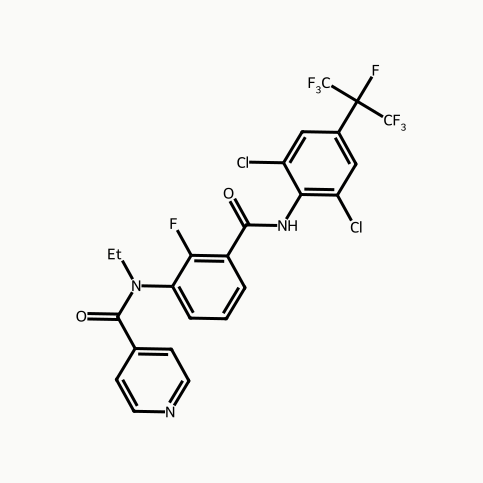 CCN(C(=O)c1ccncc1)c1cccc(C(=O)Nc2c(Cl)cc(C(F)(C(F)(F)F)C(F)(F)F)cc2Cl)c1F